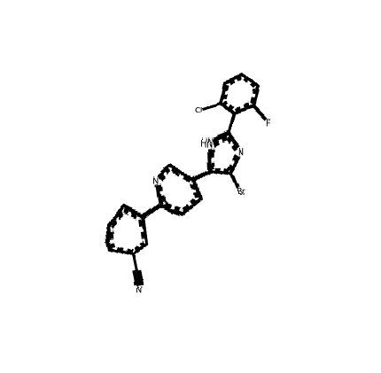 N#Cc1cccc(-c2ccc(-c3[nH]c(-c4c(F)cccc4Cl)nc3Br)cn2)c1